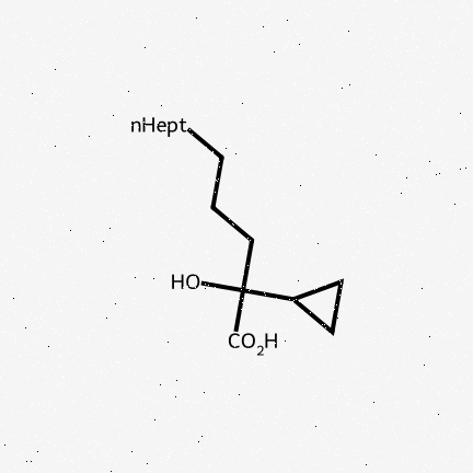 CCCCCCCCCCC(O)(C(=O)O)C1CC1